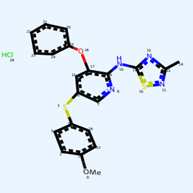 COc1ccc(Sc2cnc(Nc3nc(C)ns3)c(Oc3ccccc3)c2)cc1.Cl